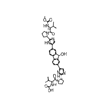 COC(=O)N[C@H](C(=O)N1CCCC1c1ncc(-c2ccc3c(c2)C(O)c2cc(-c4cnc([C@@H]5CCCN5C(=O)[C@@H](NC(=O)O)C(C)C)[nH]4)ccc2-3)[nH]1)C(C)C